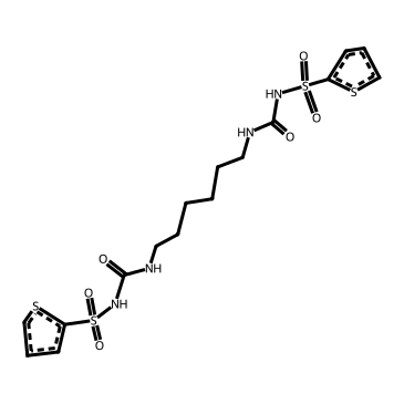 O=C(NCCCCCCNC(=O)NS(=O)(=O)c1cccs1)NS(=O)(=O)c1cccs1